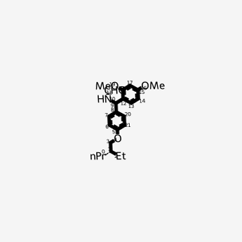 CCC[C@@H](CC)COc1ccc(C(NC=O)c2ccc(OC)cc2OC)cc1